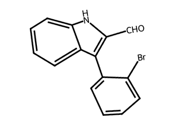 O=Cc1[nH]c2ccccc2c1-c1ccccc1Br